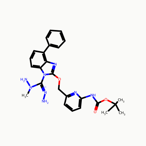 CN(N)/C(=N\N)n1c(OCc2cccc(NC(=O)OC(C)(C)C)n2)nc2c(-c3ccccc3)cccc21